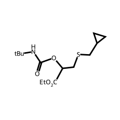 CCOC(=O)C(CSCC1CC1)OC(=O)NC(C)(C)C